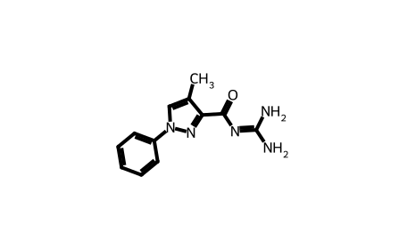 Cc1cn(-c2ccccc2)nc1C(=O)N=C(N)N